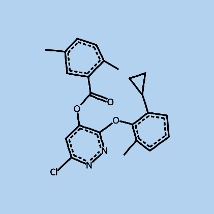 Cc1ccc(C)c(C(=O)Oc2cc(Cl)nnc2Oc2c(C)cccc2C2CC2)c1